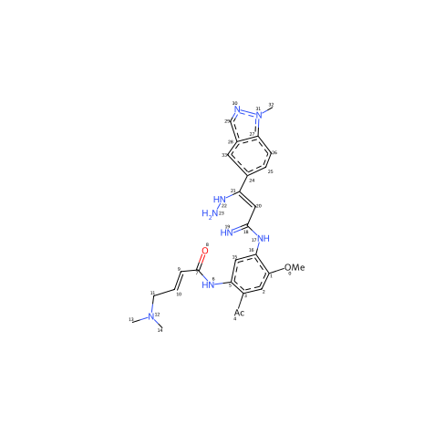 COc1cc(C(C)=O)c(NC(=O)/C=C/CN(C)C)cc1NC(=N)/C=C(\NN)c1ccc2c(cnn2C)c1